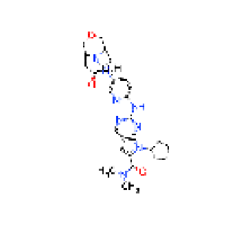 CN(C)C(=O)c1cc2cnc(Nc3ccc(N4CC5COCC(CC4=O)N5C(=O)O)cn3)nc2n1C1CCCC1